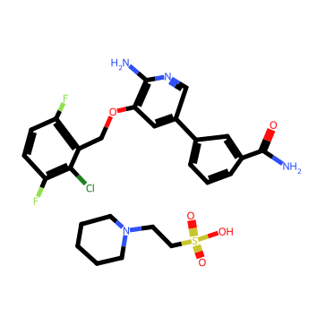 NC(=O)c1cccc(-c2cnc(N)c(OCc3c(F)ccc(F)c3Cl)c2)c1.O=S(=O)(O)CCN1CCCCC1